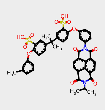 Cc1cccc(Oc2ccc(C(C)(C)c3ccc(Oc4cccc(N5C(=O)c6ccc7c8c(ccc(c68)C5=O)C(=O)N(C(C)C)C7=O)c4)c(S(=O)(=O)O)c3)cc2S(=O)(=O)O)c1